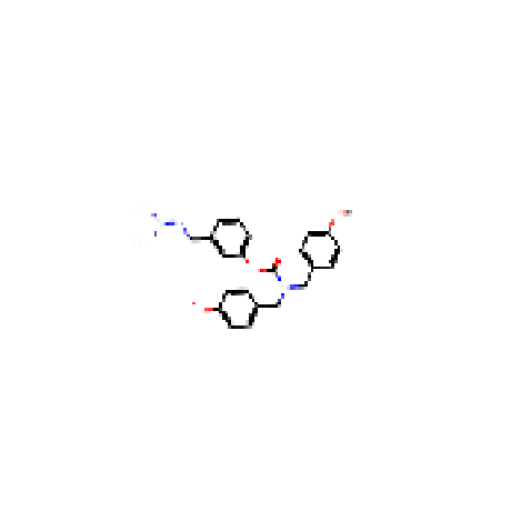 COc1ccc(CN(Cc2ccc(OC)cc2)C(=O)Oc2cccc(CNN(C)C)c2)cc1